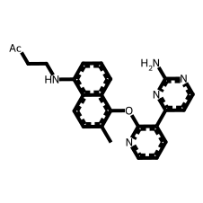 CC(=O)CCNc1cccc2c(Oc3ncccc3-c3ccnc(N)n3)c(C)ccc12